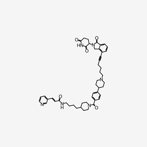 O=C(/C=C/c1cccnc1)NCCCCC1CCN(C(=O)c2ccc(C3CCN(CCCCC#Cc4cccc5c4CN(C4CCC(=O)NC4=O)C5=O)CC3)cc2)CC1